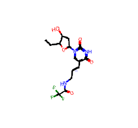 CCC1OC(n2cc(/C=C/CNC(=O)C(F)(F)F)c(=O)[nH]c2=O)CC1O